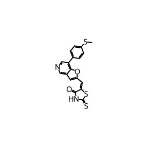 CSc1ccc(-c2cncc3cc(C=C4SC(=S)NC4=O)oc23)cc1